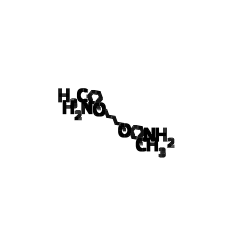 Cc1cc(OCCCCCOc2cccc(C)c2N)ccc1N